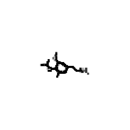 COc1cc(CCN)cc(C)c1OC(C)C